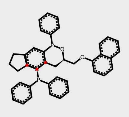 c1ccc(P(O[C@H](CCN(C2CCCC2)P(c2ccccc2)c2ccccc2)COc2cccc3ccccc23)c2ccccc2)cc1